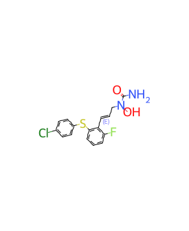 NC(=O)N(O)C/C=C/c1c(F)cccc1Sc1ccc(Cl)cc1